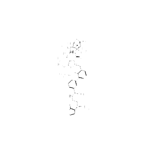 CCOc1c(CN2O[C@@H](CO)[C@@H]([C@H](C)O)[C@H]2C(=O)N[C@H]2C[C@H]3C[C@@H]([C@@H]2C)C3(C)C)cccc1-c1cccc(C(O)N[C@@H](Cc2cccs2)CN(C)C)c1